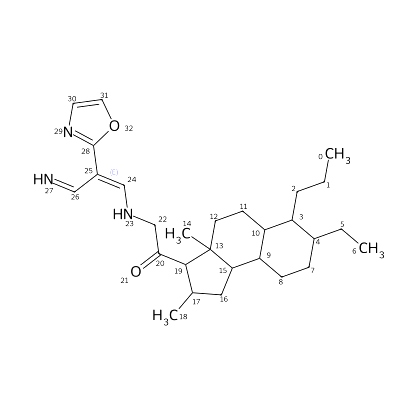 CCCC1C(CC)CCC2C1CCC1(C)C2CC(C)C1C(=O)CN/C=C(\C=N)c1ncco1